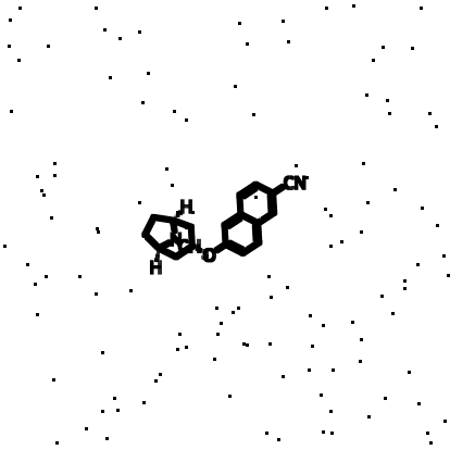 CN1[C@@H]2CC[C@H]1C[C@H](Oc1ccc3cc(C#N)ccc3c1)C2